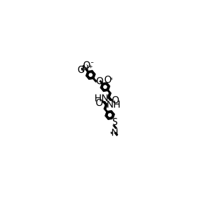 COc1cc(C=c2[nH]c(=O)c(=Cc3ccc(SCCN(C)C)cc3)[nH]c2=O)ccc1OCc1ccc([N+](=O)[O-])cc1